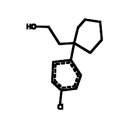 OCCC1(c2ccc(Cl)cc2)CCCCC1